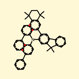 Cc1cc2c(cc1-c1cc3c(cc1N(c1ccc(-c4ccccc4)cc1)c1ccccc1-c1ccccc1)C(C)(C)c1ccccc1-3)C(C)(C)CCC2(C)C